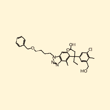 CCC(CC(=O)O)(c1cc(Cl)c(C)c(CO)c1)c1ccc2c(nnn2CCCCOCc2ccccc2)c1C